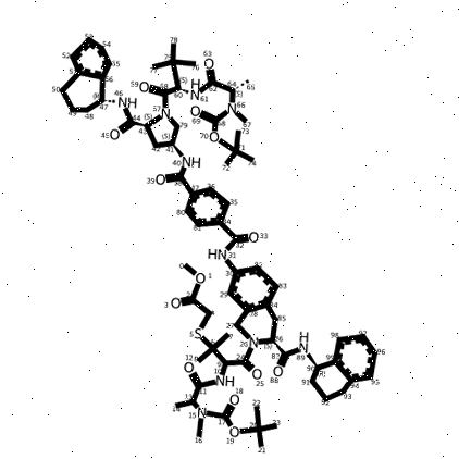 COC(=O)CSC(C)(C)C(NC(=O)C(C)N(C)C(=O)OC(C)(C)C)C(=O)N1Cc2cc(NC(=O)c3ccc(C(=O)N[C@H]4C[C@@H](C(=O)N[C@@H]5CCCc6ccccc65)N(C(=O)[C@@H](NC(=O)[C@H](C)N(C)C(=O)OC(C)(C)C)C(C)(C)C)C4)cc3)ccc2C[C@H]1C(=O)N[C@@H]1CCCc2ccccc21